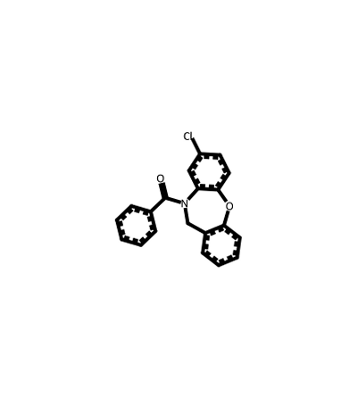 O=C(c1ccccc1)N1Cc2ccccc2Oc2ccc(Cl)cc21